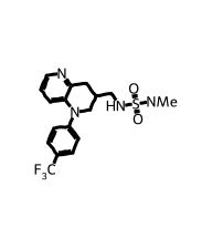 CNS(=O)(=O)NCC1Cc2ncccc2N(c2ccc(C(F)(F)F)cc2)C1